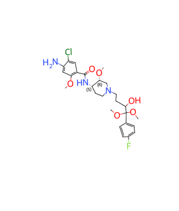 COc1cc(N)c(Cl)cc1C(=O)N[C@H]1CCN(CCC(O)C(OC)(OC)c2ccc(F)cc2)C[C@H]1OC